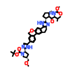 COC[C@H]1C[C@@H](c2ncc(-c3ccc4c(c3)COc3cc5c(cc3-4)CCc3nc([C@@H]4CC[C@H](C)C4C(=O)[C@@H](NC(=O)OC)C(C)C)[nH]c3-5)[nH]2)N(C(=O)OC(C)(C)C)C1